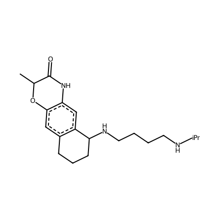 CC(C)NCCCCNC1CCCc2cc3c(cc21)NC(=O)C(C)O3